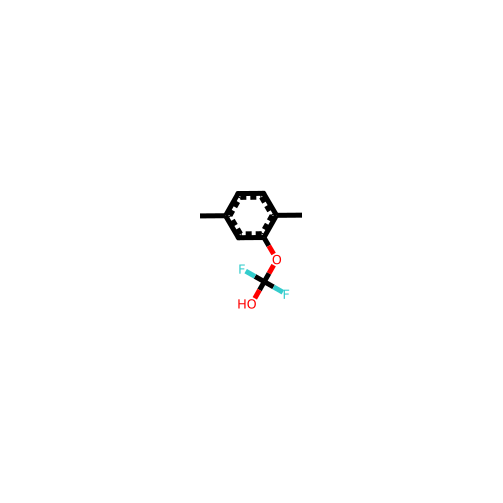 Cc1ccc(C)c(OC(O)(F)F)c1